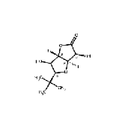 CC(C)(C)[C@@H]1O[C@@H]2[C@H](O)C(=O)O[C@H]2C1O